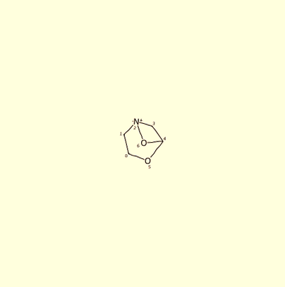 C1C[N+]2CC(O1)O2